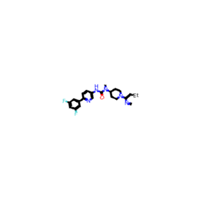 C=N/C(=C\CC)N1CCC(N(C)C(=O)Nc2ccc(-c3cc(F)cc(F)c3)nc2)CC1